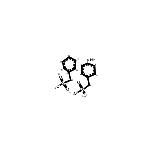 O=S(=O)([O-])Cc1ccccc1.O=S(=O)([O-])Cc1ccccc1.[Ni+2]